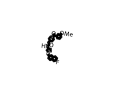 COc1cccc(C(=O)N2CCC(=CC(=O)NC3CCN(Cc4ccc5cc(F)ccc5c4)C3)CC2)c1